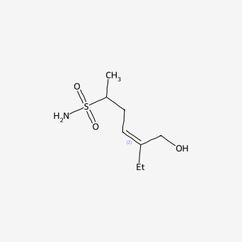 CC/C(=C/CC(C)S(N)(=O)=O)CO